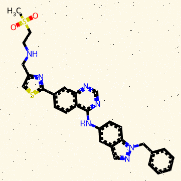 CS(=O)(=O)CCNCc1csc(-c2ccc3c(Nc4ccc5c(cnn5Cc5ccccc5)c4)ncnc3c2)n1